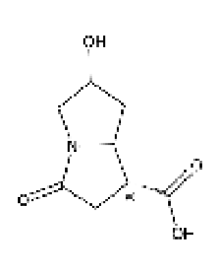 O=C(O)[C@@H]1CC(=O)N2CC(O)CC12